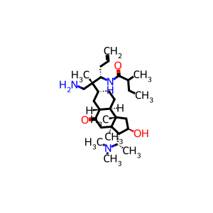 C=CC[C@H](NC(=O)C(C)CC)[C@@](C)(CN)[C@@H]1CC[C@@H]2[C@@H](C1)C(=O)C[C@]1(C)[C@@H]([C@H](C)N(C)C)[C@H](O)C[C@@]21C